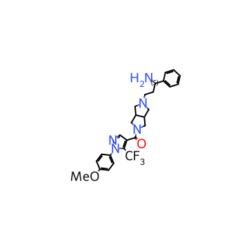 COc1ccc(-n2ncc(C(=O)N3CC4CN(CC[C@H](N)c5ccccc5)CC4C3)c2C(F)(F)F)cc1